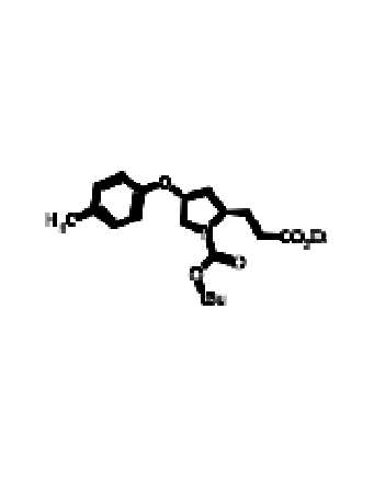 CCOC(=O)CC[C@@H]1C[C@H](Oc2ccc(C)cc2)CN1C(=O)OC(C)(C)C